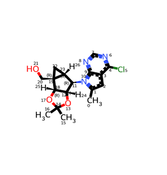 Cc1cc2c(Cl)ncnc2n1[C@H]1[C@@H]2OC(C)(C)O[C@@H]2[C@]2(CO)C[C@H]12